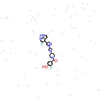 O=C(c1ccc(O)c(F)c1)N1CCC(N2C[C](n3cc(-c4c(F)cnc5[nH]ccc45)cn3)C2)CC1